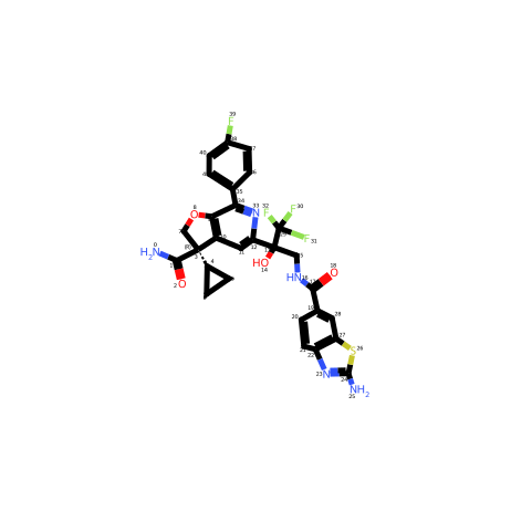 NC(=O)[C@@]1(C2CC2)COc2c1cc(C(O)(CNC(=O)c1ccc3nc(N)sc3c1)C(F)(F)F)nc2-c1ccc(F)cc1